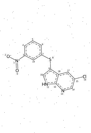 O=[N+]([O-])c1cccc(Sc2c[nH]c3ncc(Cl)cc23)c1